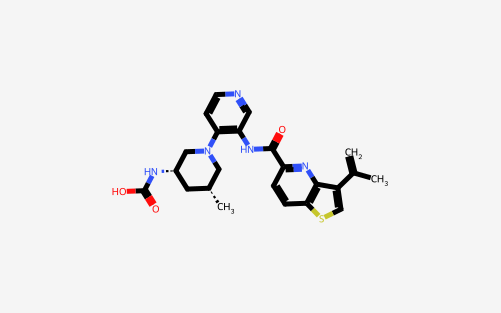 C=C(C)c1csc2ccc(C(=O)Nc3cnccc3N3C[C@H](C)C[C@H](NC(=O)O)C3)nc12